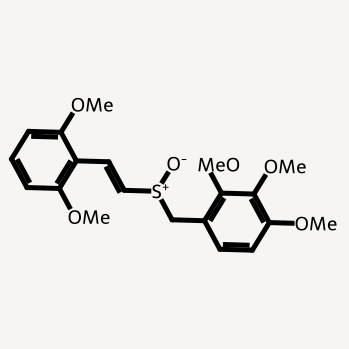 COc1cccc(OC)c1C=C[S+]([O-])Cc1ccc(OC)c(OC)c1OC